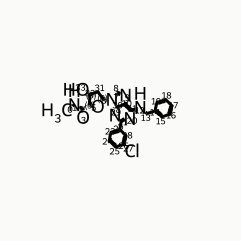 CNC(=O)[C@H]1O[C@@H](n2cnc3c(NCc4ccccc4)nc(-c4cccc(Cl)c4)nc32)C[C@@H]1O